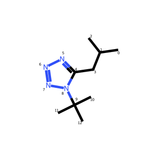 CC(C)Cc1nnnn1C(C)(C)C